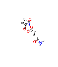 CN(C)C(=O)CCCC(=O)ON1C(=O)CCC1=O